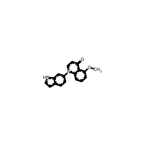 COc1cccc2c1c(=O)ccn2-c1ccc2cc[nH]c2c1